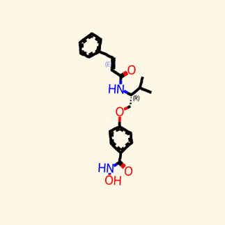 CC(C)[C@H](COc1ccc(C(=O)NO)cc1)NC(=O)/C=C/c1ccccc1